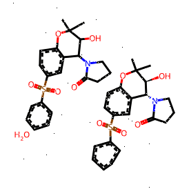 CC1(C)Oc2ccc(S(=O)(=O)c3ccccc3)cc2C(N2CCCC2=O)C1O.CC1(C)Oc2ccc(S(=O)(=O)c3ccccc3)cc2[C@@H](N2CCCC2=O)[C@@H]1O.O